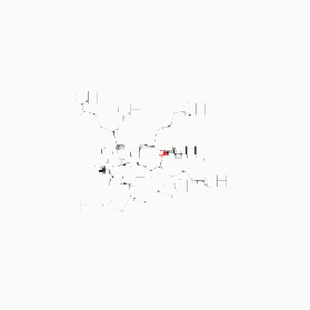 CCCCC(CC)COP(=O)(OCC(CC)CCCC)C(C)(C)N(CC(CC)CCCC)CC(CC)CCCC